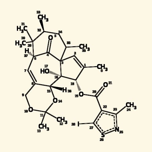 CC1=CC23C(=O)[C@@H](C=C4COC(C)(C)O[C@H]4[C@]2(O)[C@H]1OC(=O)c1c(C)nsc1I)C(C)(C)[C@@H](C)CC3C